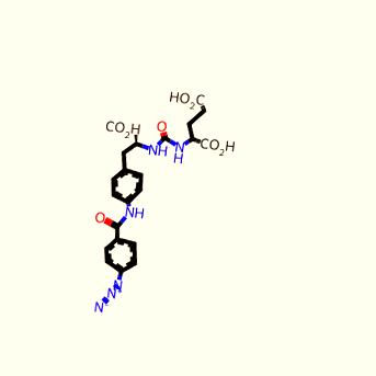 [N-]=[N+]=Nc1ccc(C(=O)Nc2ccc(C[C@H](NC(=O)NC(CCC(=O)O)C(=O)O)C(=O)O)cc2)cc1